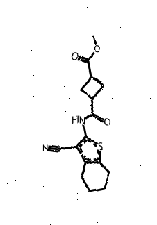 COC(=O)C1CC(C(=O)Nc2sc3c(c2C#N)CCCC3)C1